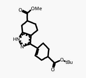 COC(=O)C1CCc2c(C3=CCC(C(=O)OC(C)(C)C)CC3)n[nH]c2C1